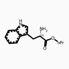 CCCOC(=O)[C@@H](N)Cc1c[nH]c2ccccc12